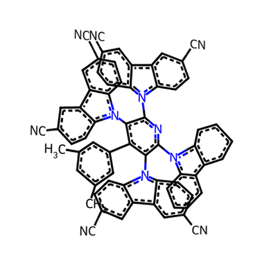 Cc1cc(C)cc(-c2c(-n3c4ccc(C#N)cc4c4cc(C#N)ccc43)c(-n3c4ccccc4c4ccccc43)nc(-n3c4ccc(C#N)cc4c4cc(C#N)ccc43)c2-n2c3ccc(C#N)cc3c3cc(C#N)ccc32)c1